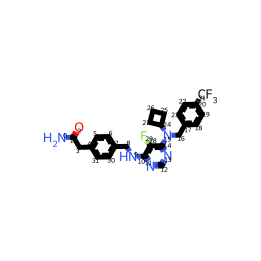 NC(=O)Cc1ccc(CNc2ncnc(N(Cc3ccc(C(F)(F)F)cc3)C3CCC3)c2F)cc1